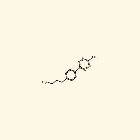 CCCCc1ccc(-c2nnc(C)nn2)cc1